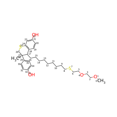 COCCOCCSCCCCCCCCCC1c2ccc(O)cc2SCC1(C)c1ccc(O)cc1